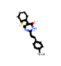 CSc1ccc(/C=C/c2nc3sc4c(c3c(=O)[nH]2)CCCC4)cc1